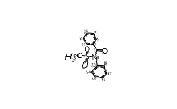 CS(=O)(=O)N(C(=O)c1cc[c]cc1)c1ccccc1